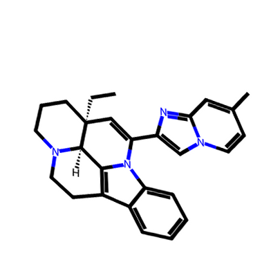 CC[C@@]12C=C(c3cn4ccc(C)cc4n3)n3c4c(c5ccccc53)CCN(CCC1)[C@H]42